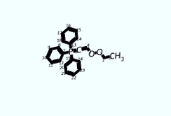 CCOOC=C=P(c1ccccc1)(c1ccccc1)c1ccccc1